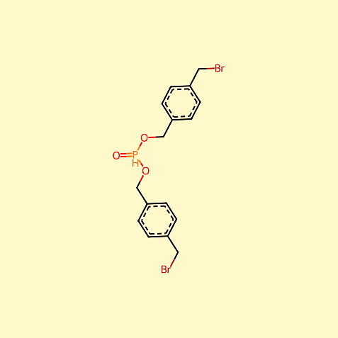 O=[PH](OCc1ccc(CBr)cc1)OCc1ccc(CBr)cc1